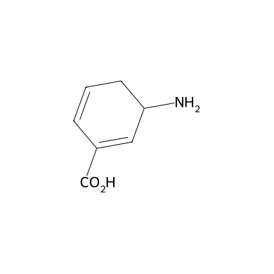 NC1C=C(C(=O)O)C=CC1